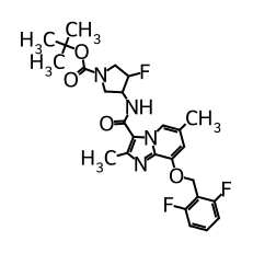 Cc1cc(OCc2c(F)cccc2F)c2nc(C)c(C(=O)NC3CN(C(=O)OC(C)(C)C)CC3F)n2c1